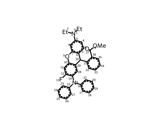 CCN(CC)c1ccc2c(c1)Oc1cc(F)c(N(c3ccccc3)c3ccccc3)cc1C2c1ccccc1C(=O)OC